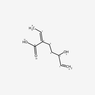 C=CC(O)CCC(=CC)C(=O)O